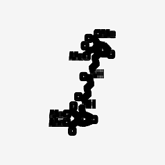 COC(=O)C1=C(C(=O)OC)C2(CCCNC(=O)CCCC(=O)NCC34OC(C(C(=O)OC)=C3C(=O)OC)C3OC34)OC1C1OC12